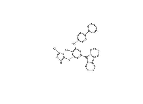 Clc1c[nH]c(Sc2cc(-n3c4ccccc4c4ccccc43)cc(Nc3ccc(-c4ccccc4)cc3)c2Cl)c1